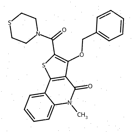 Cn1c(=O)c2c(OCc3ccccc3)c(C(=O)N3CCSCC3)sc2c2ccccc21